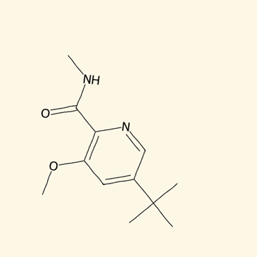 CNC(=O)c1ncc(C(C)(C)C)cc1OC